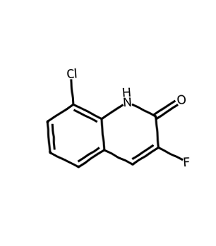 O=c1[nH]c2c(Cl)cccc2cc1F